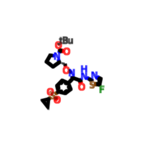 CC(C)(C)OC(=O)N1CCC[C@H]1CO/N=C(/C(=O)Nc1ncc(F)s1)c1ccc(S(=O)(=O)C2CC2)cc1